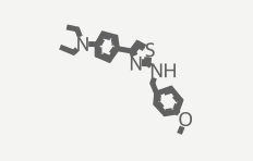 CCN(CC)c1ccc(-c2csc(NCc3ccc(OC)cc3)n2)cc1